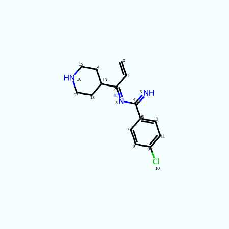 C=C/C(=N\C(=N)c1ccc(Cl)cc1)C1CCNCC1